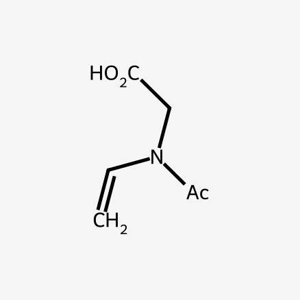 C=CN(CC(=O)O)C(C)=O